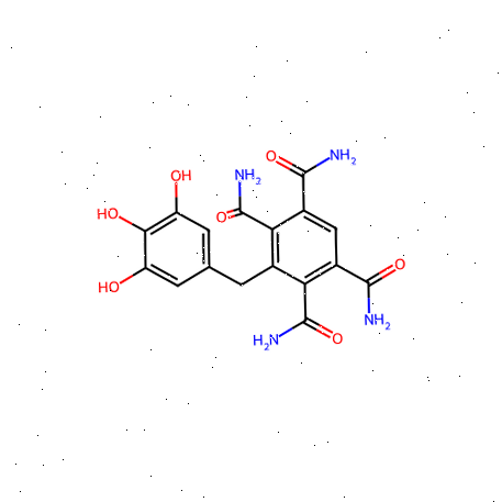 NC(=O)c1cc(C(N)=O)c(C(N)=O)c(Cc2cc(O)c(O)c(O)c2)c1C(N)=O